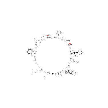 CCCC[C@H]1C(=O)N(C)[C@@H](CCCC)C(=O)N[C@@H](CCN)C(=O)N[C@H](C(=O)NCC(N)=O)CSCC(=O)N[C@@H](Cc2ccc(O)cc2)C(=O)N(C)[C@@H](C)C(=O)N[C@@H](CC(N)=O)C(=O)N2CCC[C@H]2C(=O)N[C@@H](Cc2c[nH]cn2)C(=O)N[C@@H](CCC(=O)O)C(=O)N2CCC[C@H]2C(=O)N[C@@H](Cc2c[nH]c3ccccc23)C(=O)N[C@@H](CCN)C(=O)N[C@@H](Cc2c[nH]c3ccccc23)C(=O)N1C